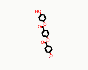 O=C(Oc1ccc(C(=O)Oc2ccc(O)cc2)cc1)c1ccc(OI)cc1